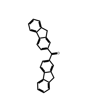 O=C(c1ccc2c(c1)Cc1ccccc1-2)c1ccc2c(c1)Cc1ccccc1-2